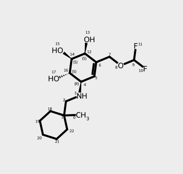 CC1(CN[C@@H]2C=C(COC(F)F)[C@H](O)[C@H](O)[C@H]2O)CCCCC1